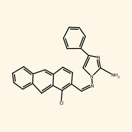 Nc1nc(-c2ccccc2)cn1/N=C\c1ccc2cc3ccccc3cc2c1Cl